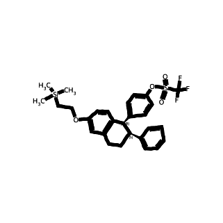 C[Si](C)(C)CCOc1ccc2c(c1)CC[C@H](c1ccccc1)[C@@H]2c1ccc(OS(=O)(=O)C(F)(F)F)cc1